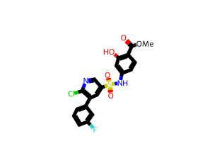 COC(=O)c1ccc(NS(=O)(=O)c2cnc(Cl)c(-c3cccc(F)c3)c2)cc1O